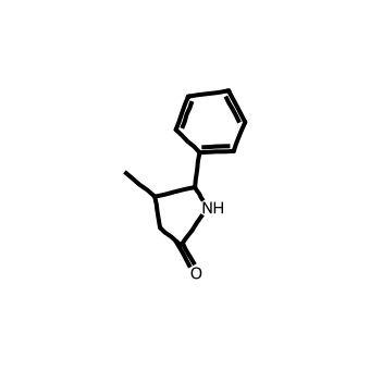 CC1CC(=O)NC1c1ccccc1